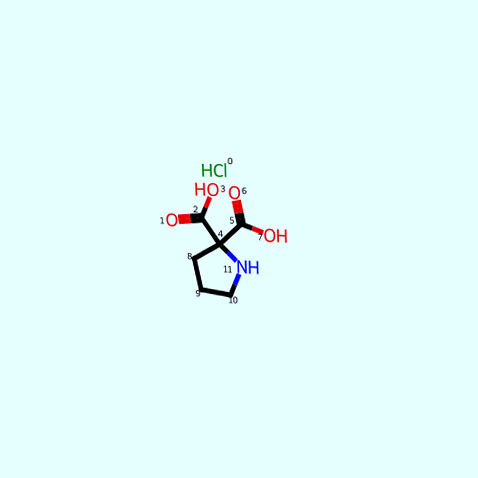 Cl.O=C(O)C1(C(=O)O)CCCN1